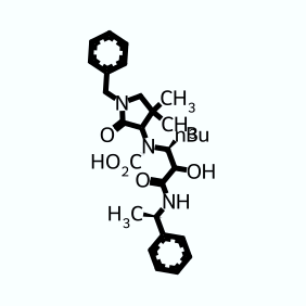 CCCC[C@@H](C(O)C(=O)N[C@H](C)c1ccccc1)N(C(=O)O)C1C(=O)N(Cc2ccccc2)CC1(C)C